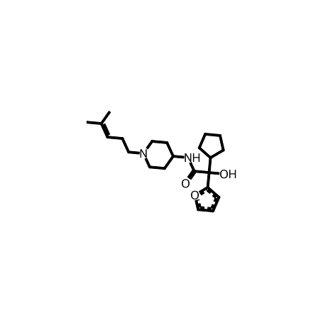 CC(C)=CCCN1CCC(NC(=O)C(O)(c2ccco2)C2CCCC2)CC1